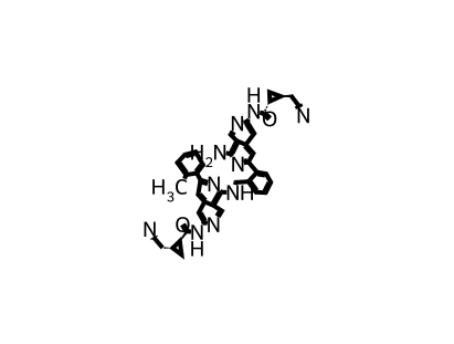 Cc1ccccc1-c1cc2cc(NC(=O)[C@H]3C[C@@H]3CC#N)ncc2c(NCc2ccccc2-c2cc3cc(NC(=O)[C@@H]4C[C@H]4CC#N)ncc3c(N)n2)n1